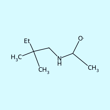 CCC(C)(C)CNC(C)[O]